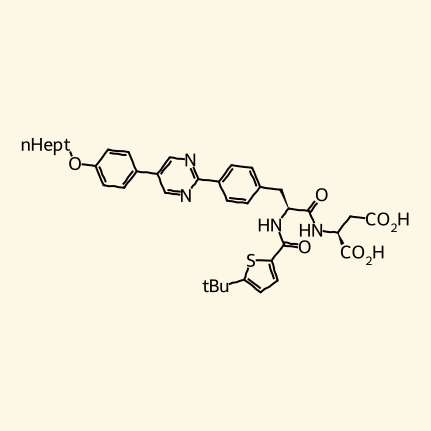 CCCCCCCOc1ccc(-c2cnc(-c3ccc(C[C@H](NC(=O)c4ccc(C(C)(C)C)s4)C(=O)N[C@@H](CC(=O)O)C(=O)O)cc3)nc2)cc1